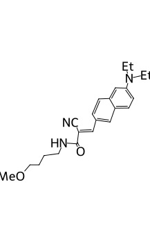 CCN(CC)c1ccc2cc(/C=C(\C#N)C(=O)NCCCCOC)ccc2c1